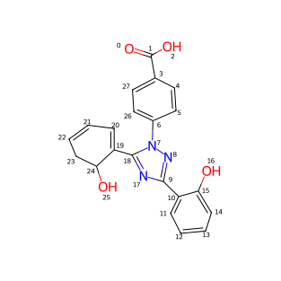 O=C(O)c1ccc(-n2nc(-c3ccccc3O)nc2C2=CC=CCC2O)cc1